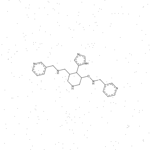 c1cncc(CNCC2CNCC(ONCc3cccnc3)C2c2cnc[nH]2)c1